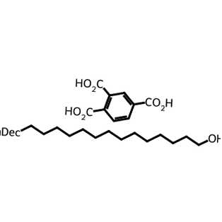 CCCCCCCCCCCCCCCCCCCCCCCCO.O=C(O)c1ccc(C(=O)O)c(C(=O)O)c1